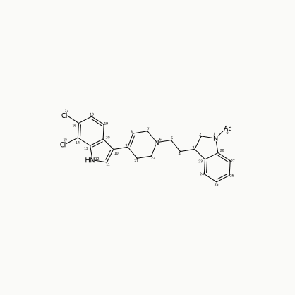 CC(=O)N1CC(CCN2CC=C(c3c[nH]c4c(Cl)c(Cl)ccc34)CC2)c2ccccc21